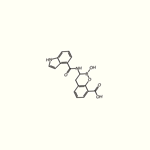 O=C(O)c1cccc2c1OB(O)C(NC(=O)c1cccc3[nH]ccc13)C2